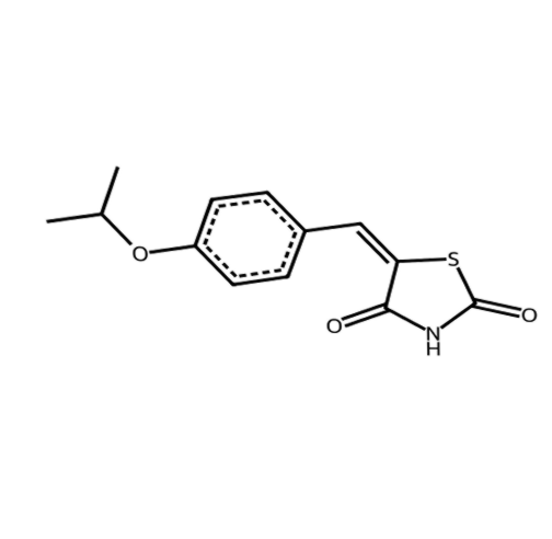 CC(C)Oc1ccc(C=C2SC(=O)NC2=O)cc1